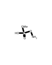 COP(=O)(O)ON